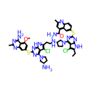 CCc1[nH]c2nc(Sc3ccc4nc(C)cc(C(N)=O)c4c3)nc(N3CC[C@H](NCCc4[nH]c5nc(Sc6cc(OC)c7c(N)nc(C)nc7c6)nc(N6CC[C@H](N)C6)c5c4Cl)C3)c2c1Cl